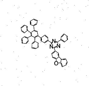 c1ccc(-c2nc(-c3ccc(-c4cc(-c5ccccc5)c(-c5ccccc5)c(-c5ccccc5)c4-c4ccccc4)cc3)nc(-c3ccc4oc5ccccc5c4c3)n2)cc1